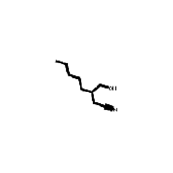 CCCCCC(CO)CC#N